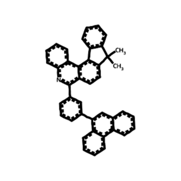 CC1(C)c2ccccc2-c2c1ccc1c(-c3cccc(-c4cc5ccccc5c5ccccc45)c3)nc3ccccc3c21